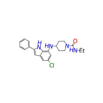 CCNC(=O)N1CCC(Nc2cc(Cl)cc3cc(-c4ccccc4)[nH]c23)CC1